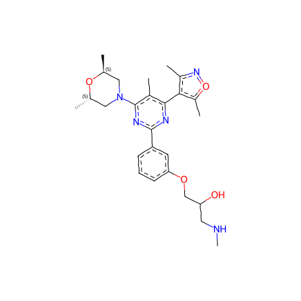 CNCC(O)COc1cccc(-c2nc(-c3c(C)noc3C)c(C)c(N3C[C@H](C)O[C@@H](C)C3)n2)c1